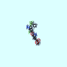 CN(C)[C@H]1C[C@H](c2ccccc2C(F)(F)F)c2cc(COc3cc4c(cn3)C3C(C4)C3C(=O)OC(C)(C)C)c(F)cc21